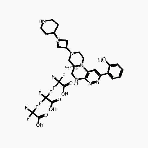 O=C(O)C(F)(F)F.O=C(O)C(F)(F)F.O=C(O)C(F)(F)F.Oc1ccccc1-c1cc2c(nn1)NC[C@H]1CN(C3CN(C4CCNCC4)C3)CCN21